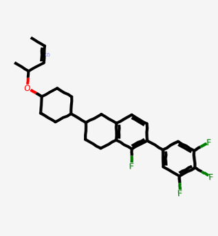 C/C=C\C(C)OC1CCC(C2CCc3c(ccc(-c4cc(F)c(F)c(F)c4)c3F)C2)CC1